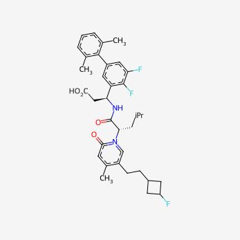 Cc1cc(=O)n([C@@H](CC(C)C)C(=O)N[C@@H](CC(=O)O)c2cc(-c3c(C)cccc3C)cc(F)c2F)cc1CCC1CC(F)C1